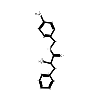 COc1ccc(COC(=O)C(N)Cc2ccccc2)cc1